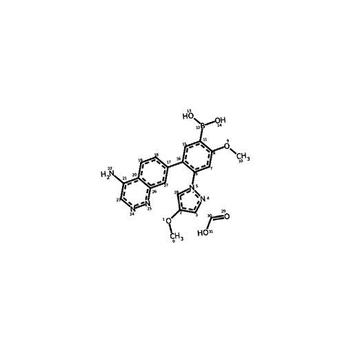 COc1cnn(-c2cc(OC)c(B(O)O)cc2-c2ccc3c(N)cnnc3c2)c1.O=CO